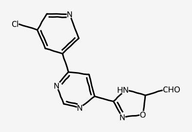 O=CC1NC(c2cc(-c3cncc(Cl)c3)ncn2)=NO1